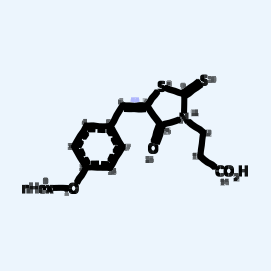 CCCCCCOc1ccc(/C=C2/SC(=S)N(CCC(=O)O)C2=O)cc1